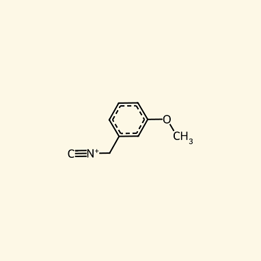 [C-]#[N+]Cc1cccc(OC)c1